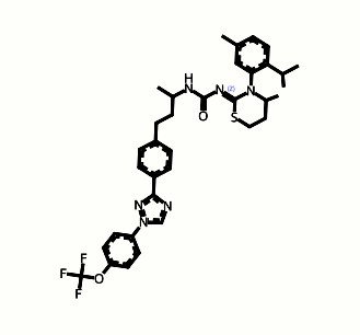 Cc1ccc(C(C)C)c(N2/C(=N/C(=O)NC(C)CCc3ccc(-c4ncn(-c5ccc(OC(F)(F)F)cc5)n4)cc3)SCCC2C)c1